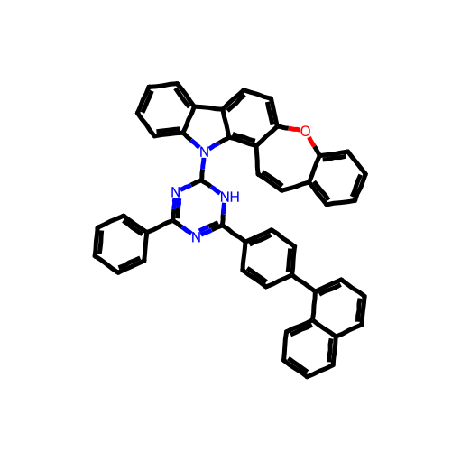 C1=Cc2c(ccc3c4ccccc4n(C4N=C(c5ccccc5)N=C(c5ccc(-c6cccc7ccccc67)cc5)N4)c23)Oc2ccccc21